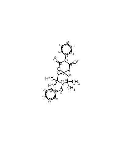 CC1(C)CC2(CC(=O)N(c3ccccc3)C(=O)O2)CC(C)(C)N1Oc1ccccc1